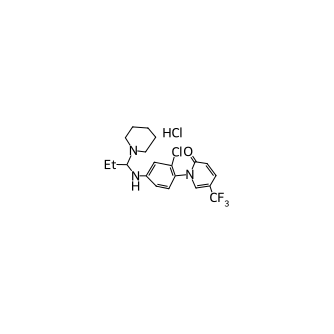 CCC(Nc1ccc(-n2cc(C(F)(F)F)ccc2=O)c(Cl)c1)N1CCCCC1.Cl